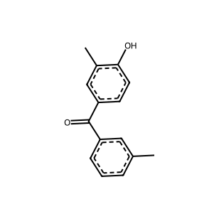 Cc1cccc(C(=O)c2ccc(O)c(C)c2)c1